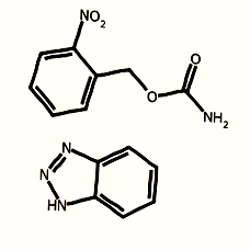 NC(=O)OCc1ccccc1[N+](=O)[O-].c1ccc2[nH]nnc2c1